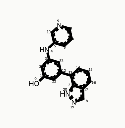 Oc1cc(Nc2cccnc2)cc(-c2cccc3cn[nH]c23)c1